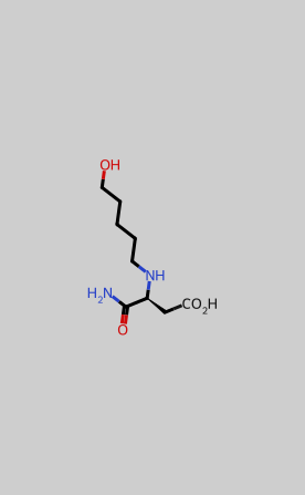 NC(=O)[C@H](CC(=O)O)NCCCCCO